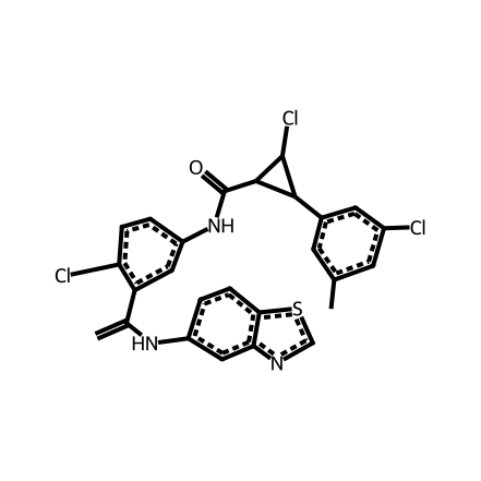 C=C(Nc1ccc2scnc2c1)c1cc(NC(=O)C2C(Cl)C2c2cc(C)cc(Cl)c2)ccc1Cl